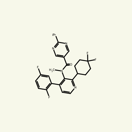 CC(C)c1ncc(C(=O)N(C)c2c(-c3cc(F)ccc3F)ccnc2C2CCC(F)(F)CC2)cn1